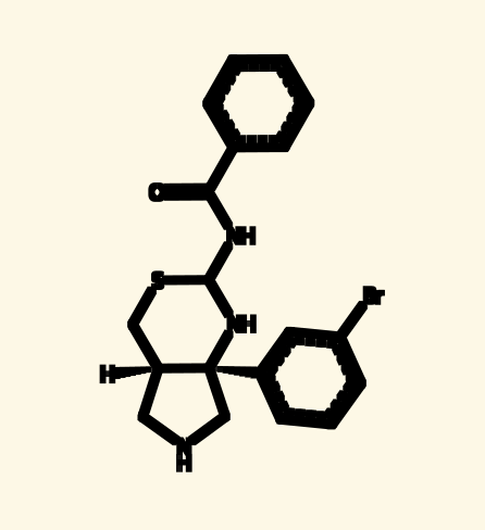 O=C(NC1N[C@@]2(c3cccc(Br)c3)CNC[C@H]2CS1)c1ccccc1